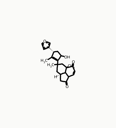 CC1=C(C2(C)C[C@@H]3CC(=O)C4C=CC(=O)C(C)(C2)C43)C(O)C[C@H]1c1ccoc1